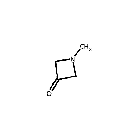 CN1CC(=O)C1